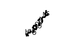 Cc1nc(CCN2CCN(C(=O)Oc3ccc(C(=O)NCCC(C)(C)C)cc3)CC2)cs1